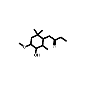 CCC(=O)CC1C(C)C(O)C(OC)CC1(C)C